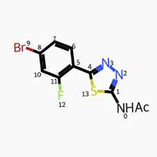 CC(=O)Nc1nnc(-c2ccc(Br)cc2F)s1